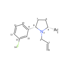 C=CCN1[C@@H](C(C)=O)CC[C@H]1c1cccc(F)c1